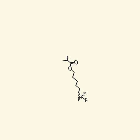 C=C(C)C(=O)OCCCCCC[Si](F)(F)F